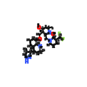 COc1cc(C)nc(Cn2cccc(C(F)F)c2=O)c1COc1cccc2c(-c3n[nH]cc3C)cc(C)nc12